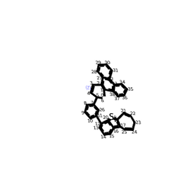 Cc1c(/C=C\C(C)c2cccc(-c3cccc4c5c(sc34)C=CCC=C5)c2)c2ccccc2c2ccccc12